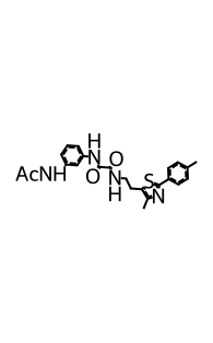 CC(=O)Nc1cccc(NC(=O)C(=O)NCCc2sc(-c3ccc(C)cc3)nc2C)c1